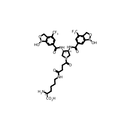 N[C@@H](CCCCNC(=O)CCC(=O)N1C[C@H](NC(=O)c2cc3c(c(C(F)(F)F)c2)COB3O)[C@@H](NC(=O)c2cc3c(c(C(F)(F)F)c2)COB3O)C1)C(=O)O